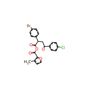 Cc1ccoc1C(=O)OC(=O)C(CC(=O)c1ccc(Cl)cc1)c1ccc(Br)cc1